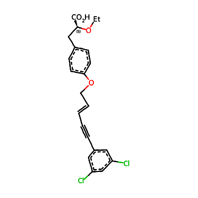 CCO[C@@H](Cc1ccc(OCC=CC#Cc2cc(Cl)cc(Cl)c2)cc1)C(=O)O